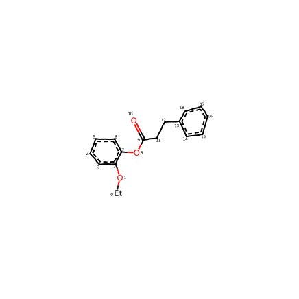 CCOc1ccccc1OC(=O)CCc1ccccc1